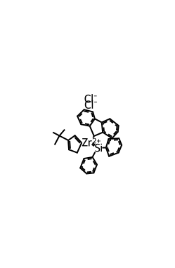 CC(C)(C)C1=CC[C]([Zr+2]([CH]2c3ccccc3-c3ccccc32)=[Si](c2ccccc2)c2ccccc2)=C1.[Cl-].[Cl-]